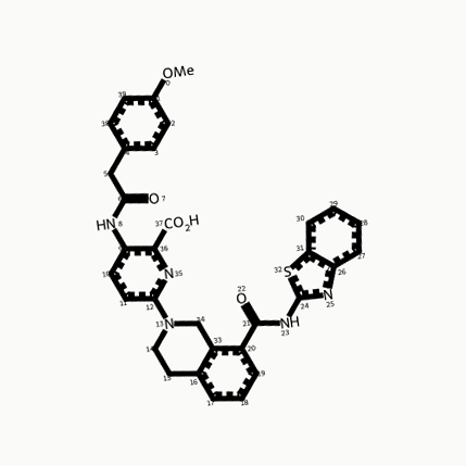 COc1ccc(CC(=O)Nc2ccc(N3CCc4cccc(C(=O)Nc5nc6ccccc6s5)c4C3)nc2C(=O)O)cc1